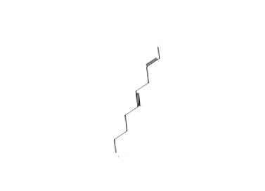 CCC=CCC=CCCCCCCCC